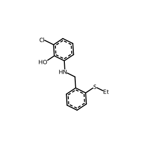 CCSc1ccccc1CNc1cccc(Cl)c1O